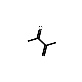 [CH2]C(=O)C(=C)C